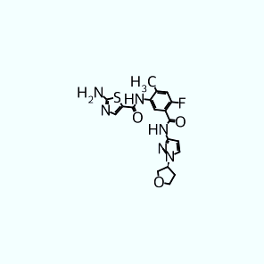 Cc1cc(F)c(C(=O)Nc2ccn([C@H]3CCOC3)n2)cc1NC(=O)c1cnc(N)s1